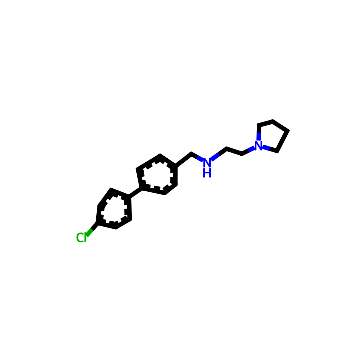 Clc1ccc(-c2ccc(CNCCN3CCCC3)cc2)cc1